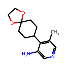 Cc1cncc(N)c1C1CCC2(CC1)OCCO2